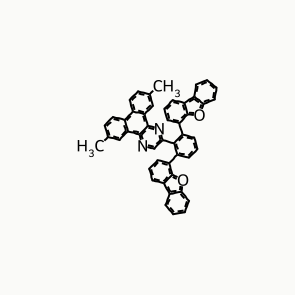 Cc1ccc2c3ccc(C)cc3c3nc(-c4c(-c5cccc6c5oc5ccccc56)cccc4-c4cccc5c4oc4ccccc45)cnc3c2c1